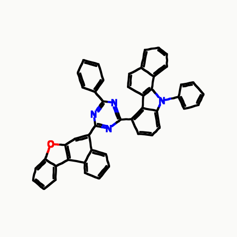 c1ccc(-c2nc(-c3cc4oc5ccccc5c4c4ccccc34)nc(-c3cccc4c3c3ccc5ccccc5c3n4-c3ccccc3)n2)cc1